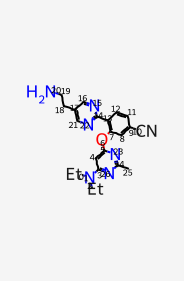 CCN(CC)c1cc(Oc2cc(C#N)ccc2-c2ncc(CCN)cn2)nc(C)n1